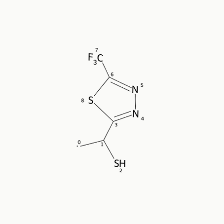 [CH2]C(S)c1nnc(C(F)(F)F)s1